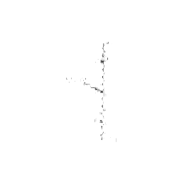 CCCC/C=C/COC(=O)CCCCCCCC(CCCCCCCC(=O)OC/C=C/CCCC)OCCCCOC